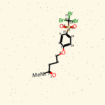 CNC(=O)CCCOc1ccc(S(=O)(=O)C(Br)(Br)Br)cc1